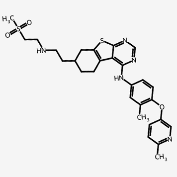 Cc1ccc(Oc2ccc(Nc3ncnc4sc5c(c34)CCC(CCNCCS(C)(=O)=O)C5)cc2C)cn1